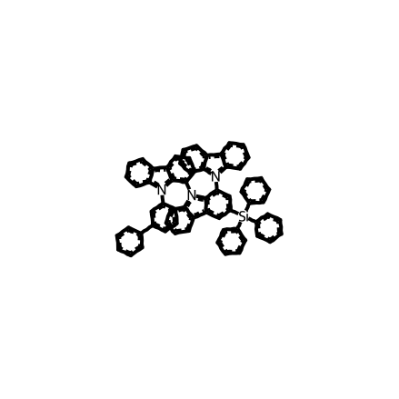 c1ccc(-c2cccc(-n3c4ccccc4c4cccc(-n5c6ccccc6c6cc([Si](c7ccccc7)(c7ccccc7)c7ccccc7)cc(-n7c8ccccc8c8ccccc87)c65)c43)c2)cc1